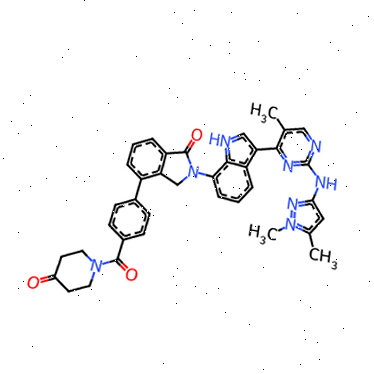 Cc1cnc(Nc2cc(C)n(C)n2)nc1-c1c[nH]c2c(N3Cc4c(cccc4-c4ccc(C(=O)N5CCC(=O)CC5)cc4)C3=O)cccc12